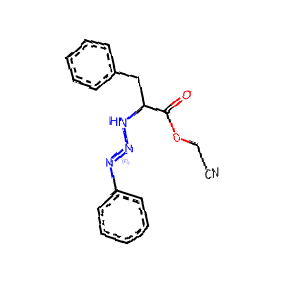 N#CCOC(=O)C(Cc1ccccc1)N/N=N/c1ccccc1